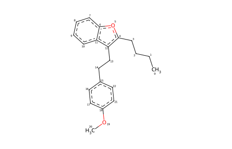 CCCCc1oc2ccccc2c1CCc1ccc(OC)cc1